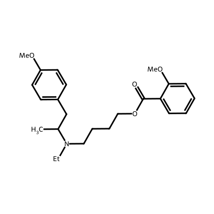 CCN(CCCCOC(=O)c1ccccc1OC)C(C)Cc1ccc(OC)cc1